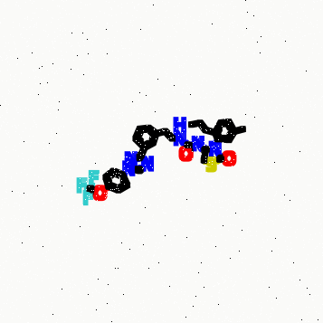 CCCc1ccc(C)cc1N1C(=O)SC/C1=N\C(=O)NCCc1cccc(-c2ncn(-c3ccc(OC(F)(F)F)cc3)n2)c1